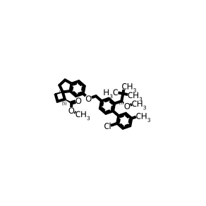 COC(=O)[C@H]1CC[C@]12CCc1ccc(OCc3ccc(-c4cc(C)ccc4Cl)c([C@@H](OC)C(C)(C)C)c3)cc12